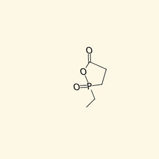 CCP1(=O)CCC(=O)O1